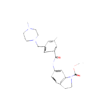 CN1CCN(Cc2cc(C(=O)Nc3ccc4c(c3)N(C(=O)OC(C)(C)C)CC4)cc(C(F)(F)F)c2)CC1